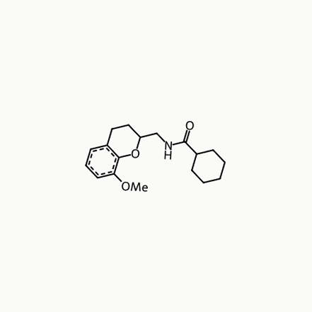 COc1cccc2c1OC(CNC(=O)C1CCCCC1)CC2